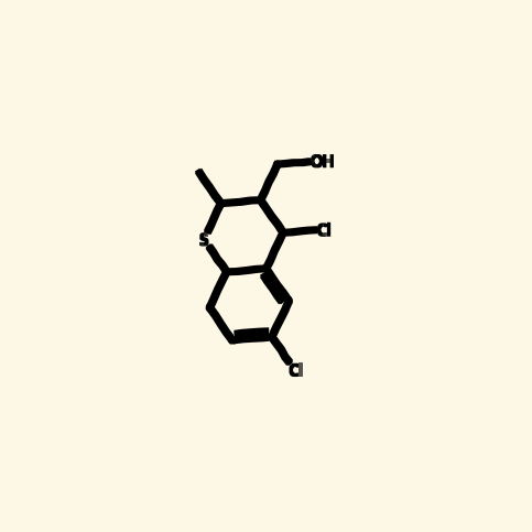 CC1SC2CC=C(Cl)C=C2C(Cl)C1CO